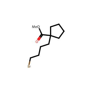 COC(=O)C1(CCCCBr)CCCC1